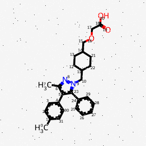 Cc1ccc(-c2c(C)nn(CC3CCC(COCC(=O)O)CC3)c2-c2ccccc2)cc1